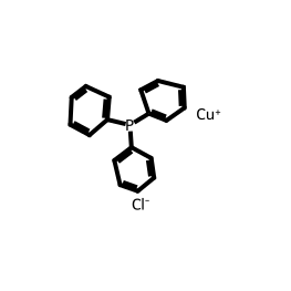 [Cl-].[Cu+].c1ccc(P(c2ccccc2)c2ccccc2)cc1